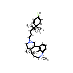 Cc1c2cccc1N(C)CCCC1(C)CCN(CCCC(C)(C)C3(C)C=CC(F)=CC3)CC21